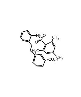 Cc1cc(C)c(S(=O)(=O)Nc2ccccc2CCc2cccc(C(=O)O)c2)c(C)c1